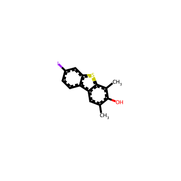 Cc1cc2c(sc3cc(I)ccc32)c(C)c1O